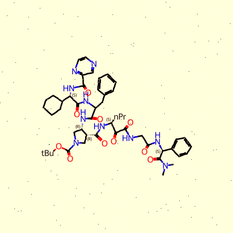 CCC[C@H](NC(=O)[C@@H]1CN(C(=O)OC(C)(C)C)C[C@@H]1NC(=O)C(Cc1ccccc1)NC(=O)[C@@H](NC(=O)c1cnccn1)C1CCCCC1)C(=O)C(=O)NCC(=O)N[C@H](C(=O)N(C)C)c1ccccc1